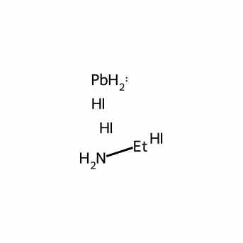 CCN.I.I.I.[PbH2]